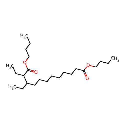 CCCCOC(=O)CCCCCCCCC(CC)C(CC)C(=O)OCCCC